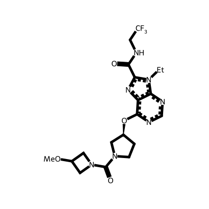 CCn1c(C(=O)NCC(F)(F)F)nc2c(O[C@H]3CCN(C(=O)N4CC(OC)C4)C3)ncnc21